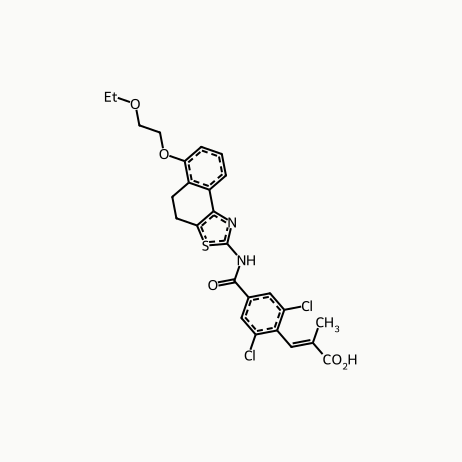 CCOCCOc1cccc2c1CCc1sc(NC(=O)c3cc(Cl)c(C=C(C)C(=O)O)c(Cl)c3)nc1-2